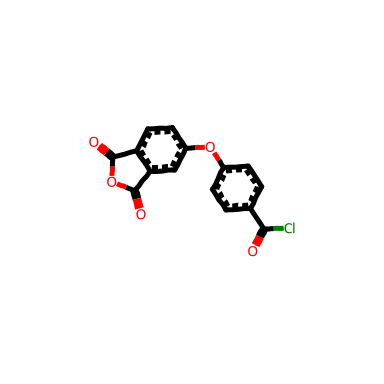 O=C(Cl)c1ccc(Oc2ccc3c(c2)C(=O)OC3=O)cc1